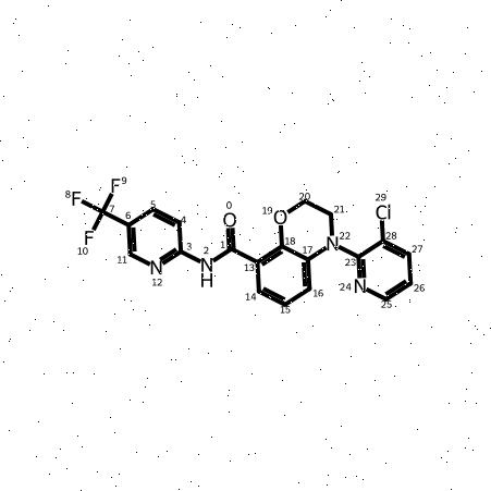 O=C(Nc1ccc(C(F)(F)F)cn1)c1cccc2c1OCCN2c1ncccc1Cl